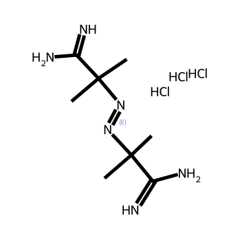 CC(C)(/N=N/C(C)(C)C(=N)N)C(=N)N.Cl.Cl.Cl